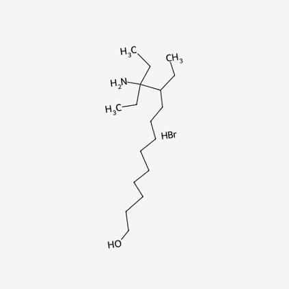 Br.CCC(CCCCCCCCCO)C(N)(CC)CC